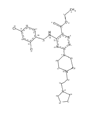 CCOC(=O)c1nnc(N2CCN(CCN3CCCC3)CC2)nc1NCc1ccc(Cl)cc1Cl